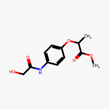 COC(=O)C(C)Oc1ccc(NC(=O)CO)cc1